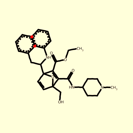 CCOC(=O)C1=C(C(=O)NC2CCN(C)CC2)C2(CO)C=CC1(C(Cc1ccccc1)Nc1ccccc1)O2